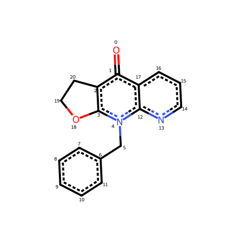 O=c1c2c(n(Cc3ccccc3)c3ncccc13)OCC2